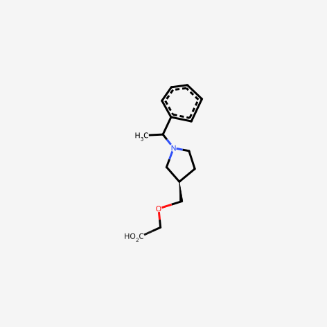 CC(c1ccccc1)N1CC[C@@H](COCC(=O)O)C1